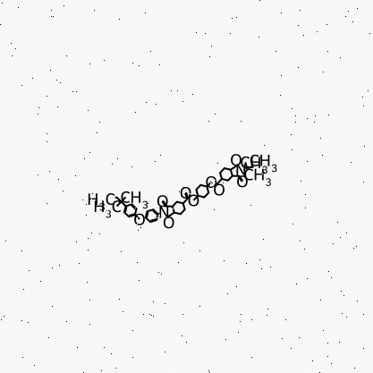 CCC(C)(C)c1ccc(Oc2ccc(N3C(=O)C4CCC(C(=O)OC5CCC(OC(=O)C6CCC7C(=O)N(C(C)(C)CC)C(=O)C7C6)CC5)CC4C3=O)cc2)cc1